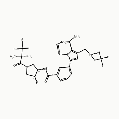 CC(C)(C(=O)N1C[C@H](F)[C@H](NC(=O)c2cccc(-c3cc(CN4CC(F)(F)C4)c4c(N)ncnn34)c2)C1)C(F)(F)F